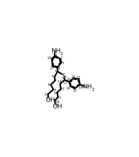 Nc1ccc(C(CCCCCO)SC(CCCCCO)c2ccc(N)cc2)cc1